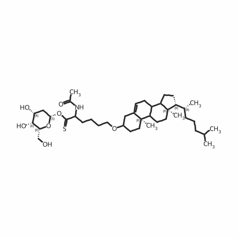 CC(=O)NC(CCCCOC1CC[C@@]2(C)C(=CCC3C2CC[C@@]2(C)C3CC[C@@H]2[C@H](C)CCCC(C)C)C1)C(=S)O[C@H]1C[C@@H](O)[C@@H](O)[C@@H](CO)O1